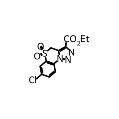 CCOC(=O)c1nnn2c1CS(=O)(=O)c1cc(Cl)ccc1-2